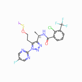 C[C@@H](NC(=O)c1cccc(C(F)(F)F)c1Cl)c1nnn(-c2ncc(F)cn2)c1CCOSI